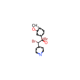 Br.COc1cccc(C(=O)C(Br)c2ccncc2)c1